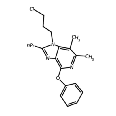 CCCc1nc2c(Oc3ccccc3)nc(C)c(C)c2n1CCCCl